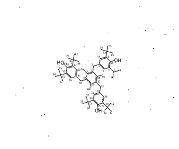 Cc1c(Cc2cc(C(C)C)c(O)c(C(C)(C)C)c2)c(C)c(Cc2cc(C(C)(C)C)c(O)c(C(C)(C)C)c2)c(C)c1Cc1cc(C(C)(C)C)c(O)c(C(C)(C)C)c1